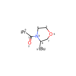 CC(C)C(=O)N1CCOCC1C(C)(C)C